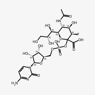 CC(=O)N[C@@H]1[C@@H](O)[C@@H](F)C(OP(=O)(O)OC[C@H]2O[C@@H](n3ccc(N)nc3=O)[C@H](O)[C@@H]2O)(C(=O)O)O[C@H]1[C@H](O)[C@H](O)CO